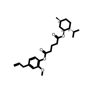 C=CCc1ccc(OC(=O)CCCC(=O)O[C@H]2C[C@@H](C)CC[C@@H]2C(C)C)c(OC)c1